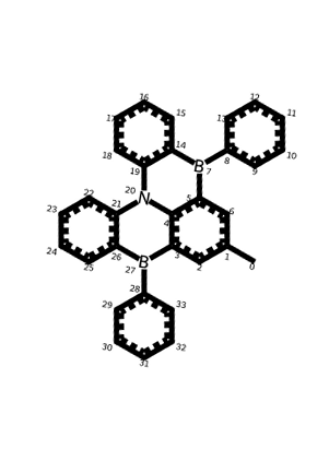 Cc1cc2c3c(c1)B(c1ccccc1)c1ccccc1N3c1ccccc1B2c1ccccc1